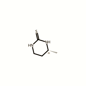 [CH2][C@@H]1CCNC(=S)N1